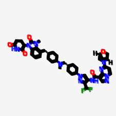 Cn1c(=O)n(C2CCC(=O)NC2=O)c2cccc(C[C@H]3CC[C@H](N(C)C[C@H]4CC[C@H](n5cc(NC(=O)c6cnn7ccc(N8C[C@H]9C[C@@H]8CO9)nc67)c(C(F)F)n5)CC4)CC3)c21